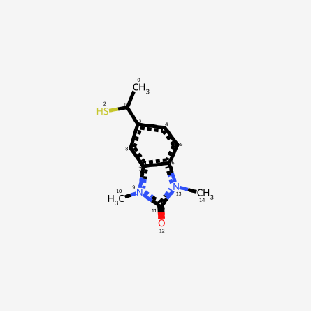 CC(S)c1ccc2c(c1)n(C)c(=O)n2C